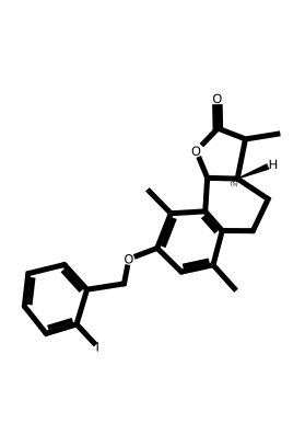 Cc1cc(OCc2ccccc2I)c(C)c2c1CC[C@H]1C(C)C(=O)OC21